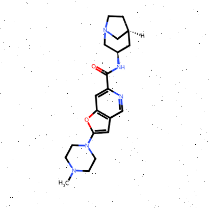 CN1CCN(c2cc3cnc(C(=O)N[C@@H]4C[C@@H]5CCN(C5)C4)cc3o2)CC1